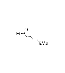 [CH2]CC(=O)CCCCSC